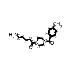 Cc1ccc(C(=O)N2CCN(C(=O)CCCCN)CC2)cc1